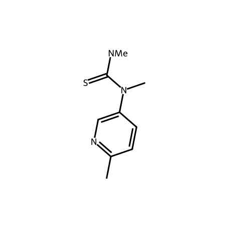 CNC(=S)N(C)c1ccc(C)nc1